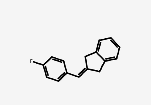 Fc1ccc(C=C2Cc3ccccc3C2)cc1